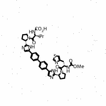 COC(=O)N[C@@H](Cc1cscn1)C(=O)N1CCC[C@H]1c1ncc(-c2ccc(-c3ccc(-c4cnc([C@@H]5CCCN5C(=O)[C@@H](NC(=O)O)C(C)C)[nH]4)cc3)cc2)[nH]1